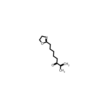 C=C(C)C(=O)CCCCCC1=NCCO1